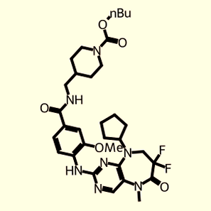 CCCCOC(=O)N1CCC(CNC(=O)c2ccc(Nc3ncc4c(n3)N(C3CCCC3)CC(F)(F)C(=O)N4C)c(OC)c2)CC1